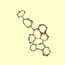 c1ccc(-c2ccc(N(c3ccccc3)c3ccccc3-c3c(-n4c5ccccc5c5ccccc54)ccc4ccccc34)cc2)cc1